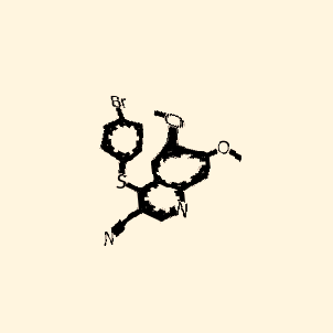 COc1cc2ncc(C#N)c(Sc3ccc(Br)cc3)c2cc1OC